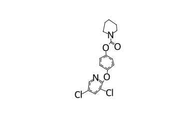 O=C(Oc1ccc(Oc2ncc(Cl)cc2Cl)cc1)N1CCCCC1